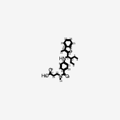 CCC(CC)C(Nc1ccc(C(=O)N(C)CCC(=O)O)cc1)c1sc2ccccc2c1C